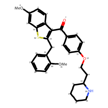 COc1ccc2c(C(=O)c3ccc(OCCC4CCCCN4)cc3)c(Cc3ccccc3OC)sc2c1